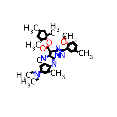 [C-]#[N+]C1=C(C(=O)OC2C(C)CC(C)CC2C)c2nc(-c3cc(C)ccc3OC)nn2/C1=N/c1ccc(N(CC)CC)cc1C